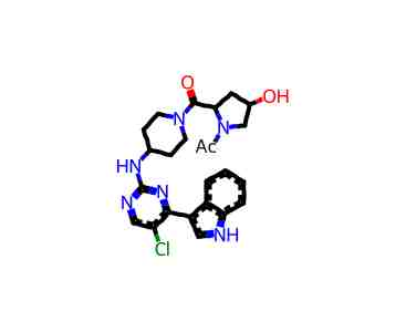 CC(=O)N1CC(O)CC1C(=O)N1CCC(Nc2ncc(Cl)c(-c3c[nH]c4ccccc34)n2)CC1